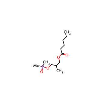 CCCCCC(=O)OCC(C)CO[P](C)(=O)[Mo]